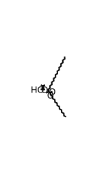 C=C(C)C(=O)O.CCCCCCCCCCCCCCCCCCC=C(C)C(=O)OCCCCCCCCCCCCC